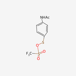 CC(=O)Nc1ccc(SOS(=O)(=O)C(F)(F)F)cc1